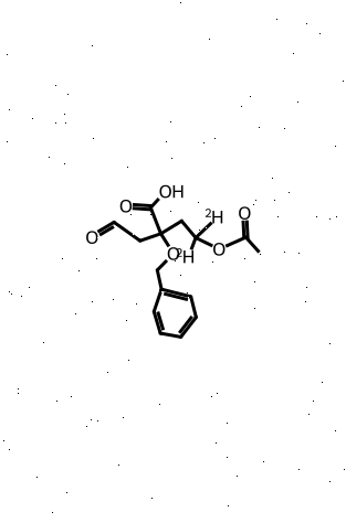 [2H]C([2H])(CC(CC=O)(OCc1ccccc1)C(=O)O)OC(C)=O